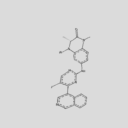 CC(C)N1c2cc(Nc3ncc(F)c(-c4cncc5ccccc45)n3)ccc2N(C)C(=O)[C@H]1C